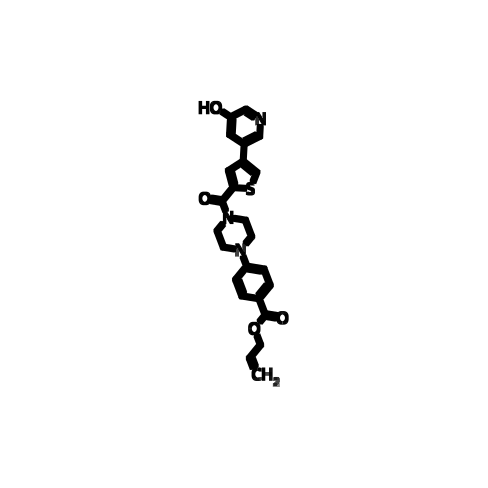 C=CCOC(=O)c1ccc(N2CCN(C(=O)c3cc(-c4cncc(O)c4)cs3)CC2)cc1